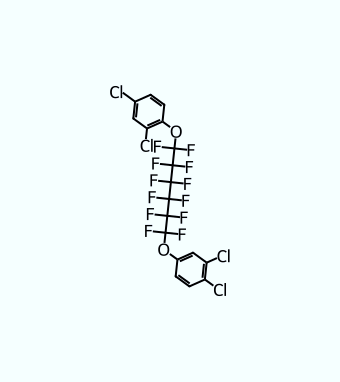 FC(F)(Oc1ccc(Cl)c(Cl)c1)C(F)(F)C(F)(F)C(F)(F)C(F)(F)C(F)(F)Oc1ccc(Cl)cc1Cl